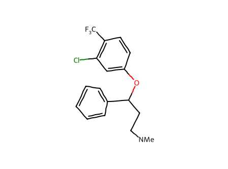 CNCCC(Oc1ccc(C(F)(F)F)c(Cl)c1)c1ccccc1